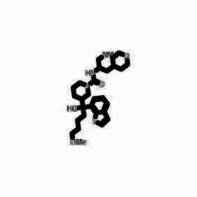 CNCC(CC1CCOCC1)NC(=O)N1CCCC(C(O)(CCCCOC)c2cccc3ccsc23)C1